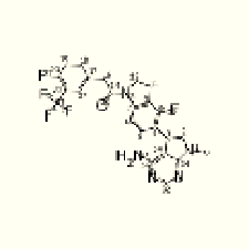 Cn1cc(-c2ccc3c(c2F)CCN3C(=O)Cc2ccc(F)c(C(F)(F)F)c2)c2c(N)ncnc21